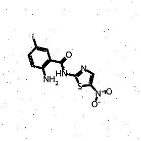 Nc1ccc(I)cc1C(=O)Nc1ncc([N+](=O)[O-])s1